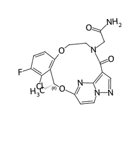 C[C@H]1Oc2ccn3ncc(c3n2)C(=O)N(CC(N)=O)CCOc2ccc(F)c(Cl)c21